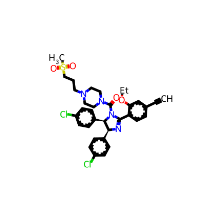 C#Cc1ccc(C2=N[C@@H](c3ccc(Cl)cc3)[C@@H](c3ccc(Cl)cc3)N2C(=O)N2CCN(CCCS(C)(=O)=O)CC2)c(OCC)c1